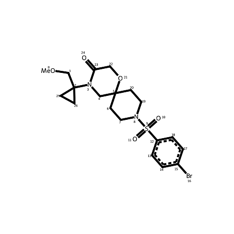 COCC1(N2CC3(CCN(S(=O)(=O)c4ccc(Br)cc4)CC3)OCC2=O)CC1